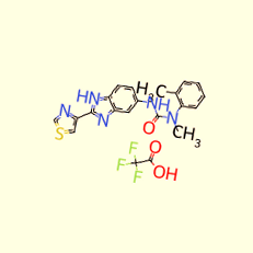 Cc1ccccc1N(C)C(=O)Nc1ccc2[nH]c(-c3cscn3)nc2c1.O=C(O)C(F)(F)F